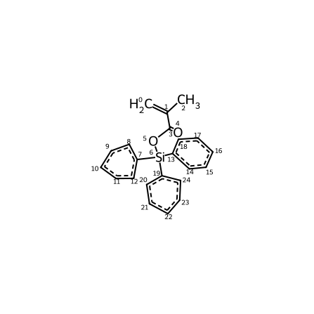 C=C(C)C(=O)O[Si](c1ccccc1)(c1ccccc1)c1ccccc1